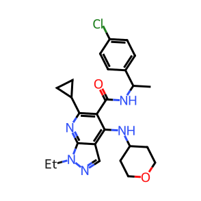 CCn1ncc2c(NC3CCOCC3)c(C(=O)NC(C)c3ccc(Cl)cc3)c(C3CC3)nc21